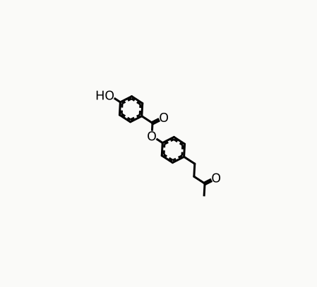 CC(=O)CCc1ccc(OC(=O)c2ccc(O)cc2)cc1